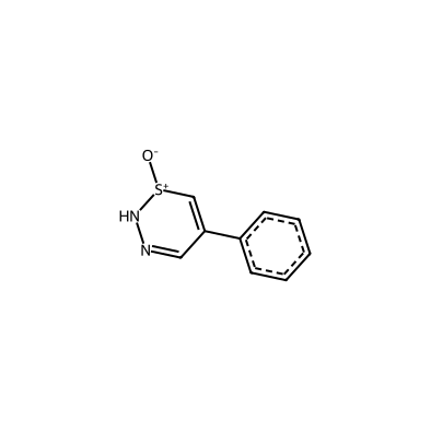 [O-][S+]1C=C(c2ccccc2)C=NN1